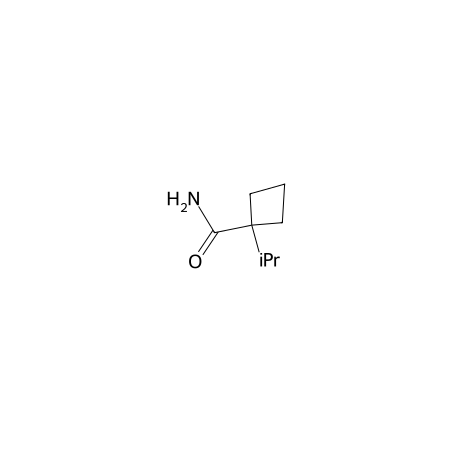 CC(C)C1(C(N)=O)CCC1